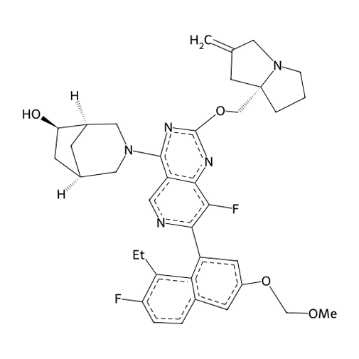 C=C1CN2CCC[C@@]2(COc2nc(N3C[C@@H]4C[C@H](C3)[C@H](O)C4)c3cnc(-c4cc(OCOC)cc5ccc(F)c(CC)c45)c(F)c3n2)C1